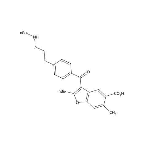 CCCCNCCCc1ccc(C(=O)c2c(CCCC)oc3cc(C)c(C(=O)O)cc23)cc1